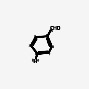 [2H]c1ccc(C=O)cc1